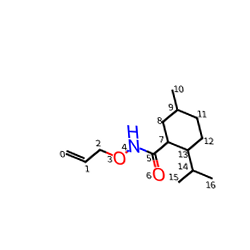 C=CCONC(=O)C1CC(C)CCC1C(C)C